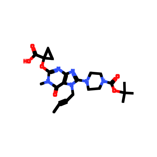 CC#CCn1c(N2CCN(C(=O)OC(C)(C)C)CC2)nc2nc(OC3(C(=O)O)CC3)n(C)c(=O)c21